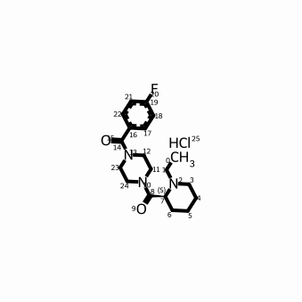 CCN1CCCC[C@H]1C(=O)N1CCN(C(=O)c2ccc(F)cc2)CC1.Cl